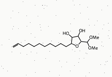 C=CCCCCCCCCCC1OC(C(OC)OC)C(O)C1O